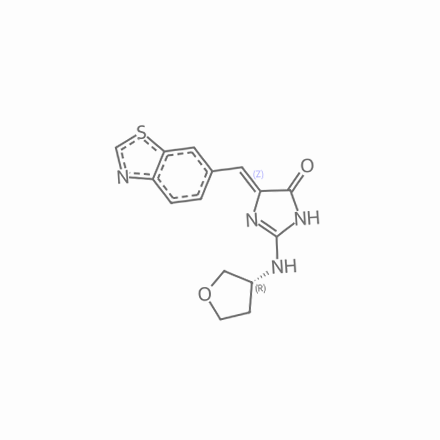 O=C1NC(N[C@@H]2CCOC2)=N/C1=C\c1ccc2ncsc2c1